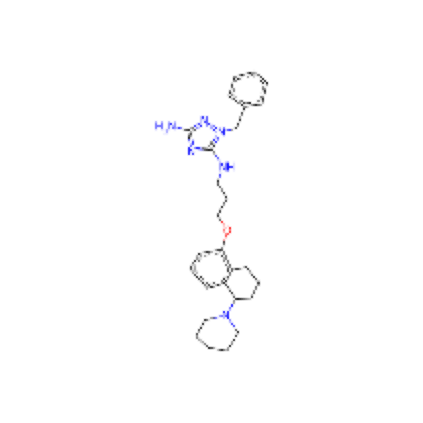 Nc1nc(NCCCOc2cccc3c2CCCC3N2CCCCC2)n(Cc2ccccc2)n1